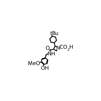 COc1cc(CNC(=O)C2CN(C(=O)O)C2C2CCC(C(C)(C)C)CC2)ccc1O